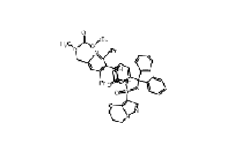 CC(C)c1cc(CN(C)C(=O)OC(C)(C)C)nc(C(C)C)c1NC(=O)NS(=O)(=NC(c1ccccc1)(c1ccccc1)c1ccccc1)c1cnn2c1OCCC2